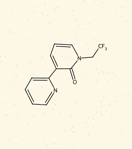 O=c1c(-c2ccccn2)cccn1CC(F)(F)F